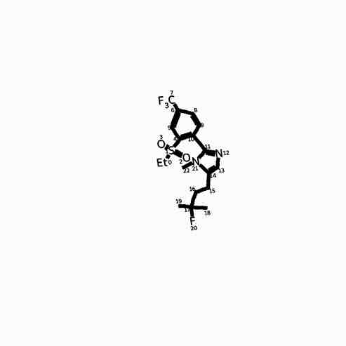 CCS(=O)(=O)c1cc(C(F)(F)F)ccc1-c1ncc(CCC(C)(C)F)n1C